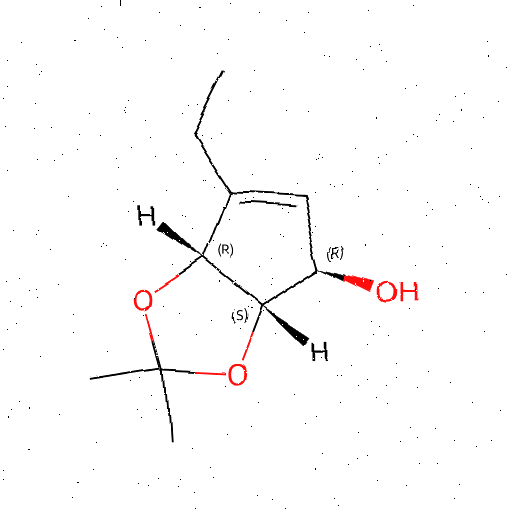 CCC1=C[C@@H](O)[C@@H]2OC(C)(C)O[C@H]12